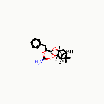 CC1(C)[C@H]2C[C@@H]1[C@@H]1OB(C(Cc3ccccc3)OC(N)=O)O[C@]1(C)C2